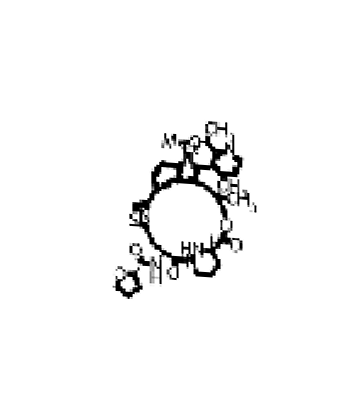 CCn1c(-c2cccnc2[C@H](C)OC)c2c3cc(ccc31)-c1csc(n1)C[C@H](NC(=O)[C@@H]1CCCO1)C(=O)N1CCC[C@H](N1)C(=O)OCC(C)(C)C2